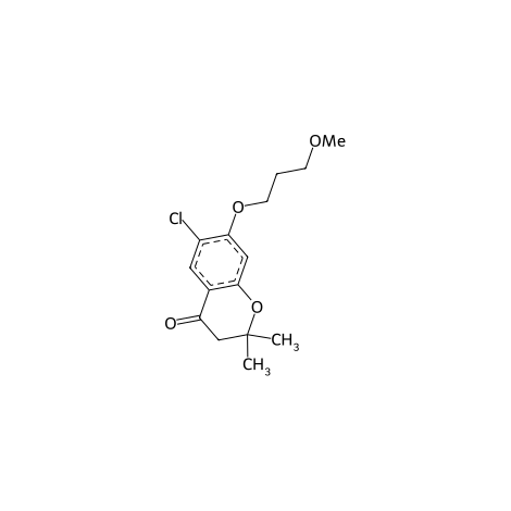 COCCCOc1cc2c(cc1Cl)C(=O)CC(C)(C)O2